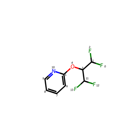 FC(F)C(Oc1ccccn1)C(F)F